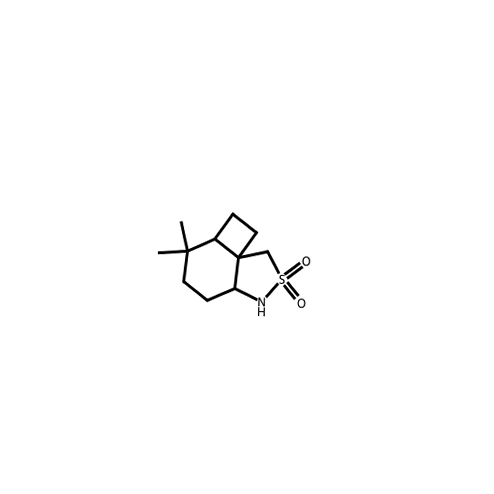 CC1(C)CCC2NS(=O)(=O)CC23CCC13